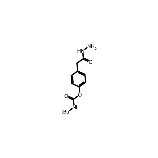 CC(C)(C)NC(=O)Oc1ccc(CC(=O)NN)cc1